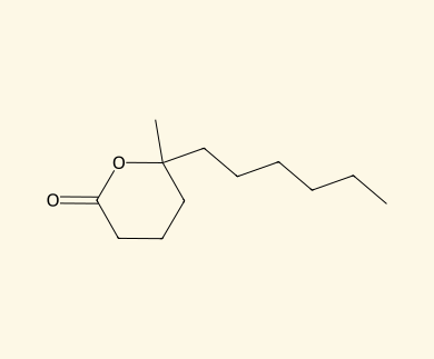 CCCCCCC1(C)CCCC(=O)O1